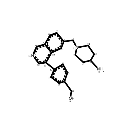 NC1CCN(Cc2ccc3cncc(-c4ccc(CO)cc4)c3c2)CC1